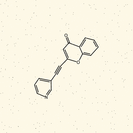 O=c1cc(C#Cc2cccnc2)oc2ccccc12